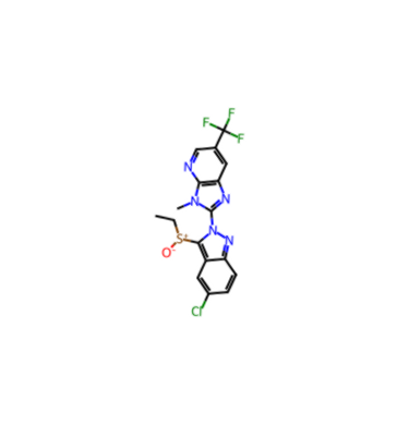 CC[S+]([O-])c1c2cc(Cl)ccc2nn1-c1nc2cc(C(F)(F)F)cnc2n1C